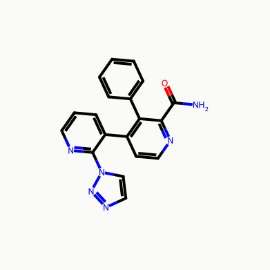 NC(=O)c1nccc(-c2cccnc2-n2ccnn2)c1-c1ccccc1